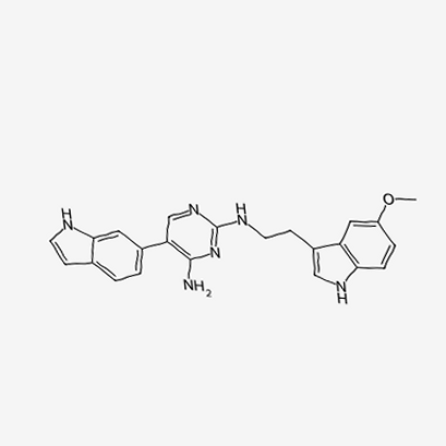 COc1ccc2[nH]cc(CCNc3ncc(-c4ccc5cc[nH]c5c4)c(N)n3)c2c1